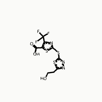 O=C(O)c1sc(Sc2nnc(CCO)s2)nc1C(F)(F)F